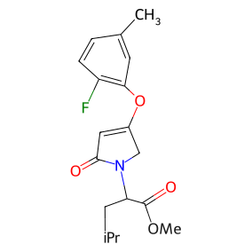 COC(=O)C(CC(C)C)N1CC(Oc2cc(C)ccc2F)=CC1=O